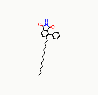 CCCCCCCCCCCCc1ccc2c(c1-c1ccccc1)C(=O)NC2=O